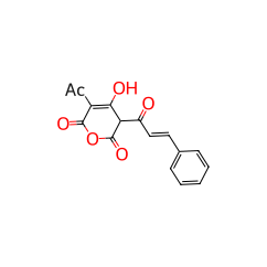 CC(=O)C1=C(O)C(C(=O)/C=C/c2ccccc2)C(=O)OC1=O